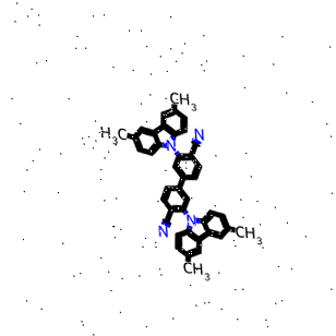 Cc1ccc2c(c1)c1cc(C)ccc1n2-c1cc(-c2ccc(C#N)c(-n3c4ccc(C)cc4c4cc(C)ccc43)c2)ccc1C#N